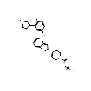 CN1CCC(c2cc(NN3C=CC=C4N[C@@H](C5=CCN(C(=O)NC(C)(C)C)CC5)C=C43)ccc2F)C1